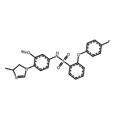 COc1cc(NS(=O)(=O)c2ccccc2Oc2ccc(F)cc2)ccc1N1C=NC(C)C1